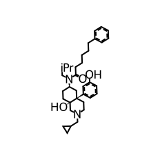 CC(C)CN(C(=O)CCCCCc1ccccc1)[C@@H]1CC[C@]2(O)CN(CC3CC3)CC[C@@]2(c2cccc(O)c2)C1